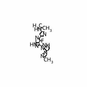 Cc1cn(-c2ccnc3[nH]c(-c4n[nH]c5cnc(-c6cncc(NC(C)C)c6)c(F)c45)nc23)cn1